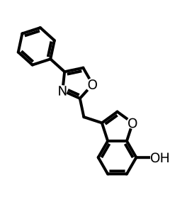 Oc1cccc2c(Cc3nc(-c4ccccc4)co3)coc12